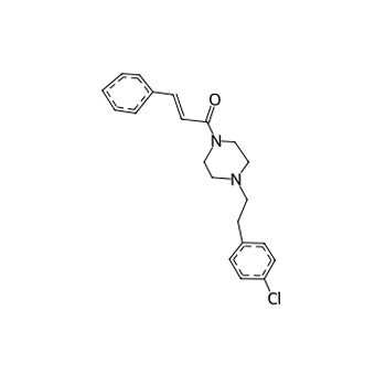 O=C(/C=C/c1ccccc1)N1CCN(CCc2ccc(Cl)cc2)CC1